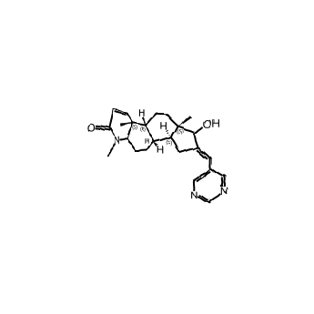 CN1C(=O)C=C[C@@]2(C)C1CC[C@@H]1[C@H]2CC[C@]2(C)C(O)C(=Cc3cncnc3)C[C@@H]12